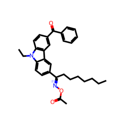 CCCCCCC/C(=N\OC(C)=O)c1ccc2c(c1)c1cc(C(=O)c3ccccc3)ccc1n2CC